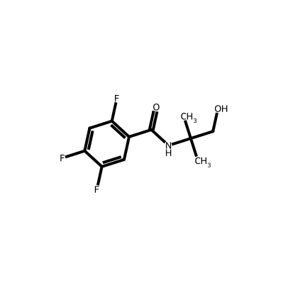 CC(C)(CO)NC(=O)c1cc(F)c(F)cc1F